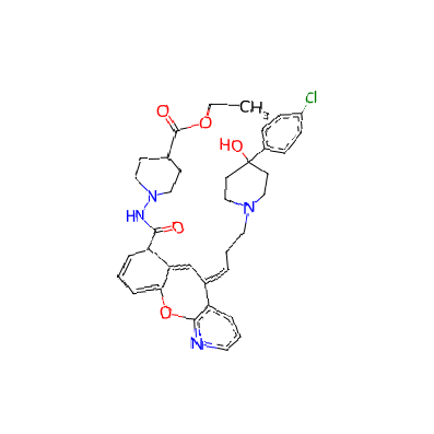 CCOC(=O)C1CCN(NC(=O)C2C=CC=C3Oc4ncccc4C(=CCCN4CCC(O)(c5ccc(Cl)cc5)CC4)C=C32)CC1